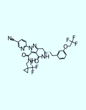 N#Cc1ccc(-n2nc3c(c2C(=O)NCC2(C(F)(F)F)CC2)C(=O)N[C@@H](CCc2cccc(OCC(F)(F)F)c2)C3)nc1